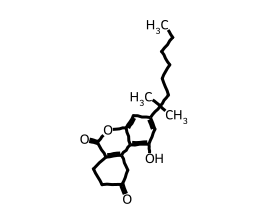 CCCCCCC(C)(C)c1cc(O)c2c3c(c(=O)oc2c1)CCC(=O)C3